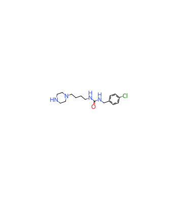 O=C(NCCCCN1CCNCC1)NCc1ccc(Cl)cc1